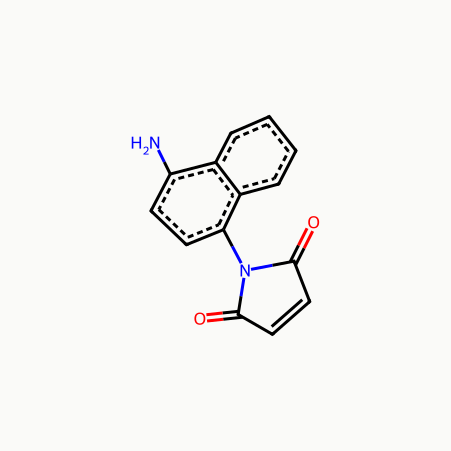 Nc1ccc(N2C(=O)C=CC2=O)c2ccccc12